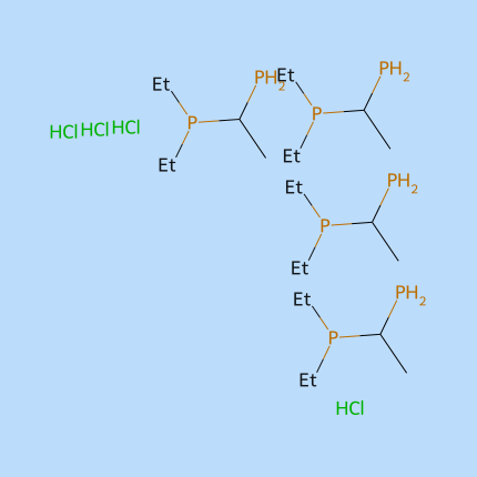 CCP(CC)C(C)P.CCP(CC)C(C)P.CCP(CC)C(C)P.CCP(CC)C(C)P.Cl.Cl.Cl.Cl